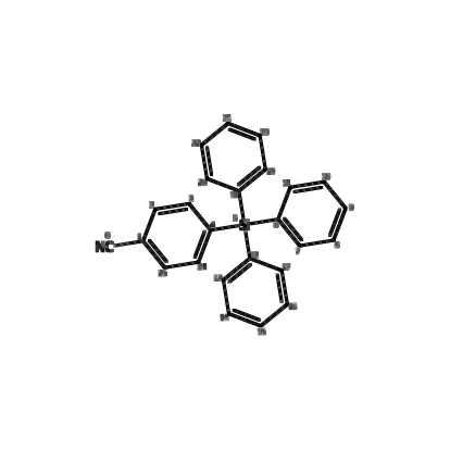 N#Cc1ccc([Si](c2ccccc2)(c2ccccc2)c2ccccc2)cc1